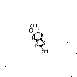 COc1ccc2sc(S)nc2n1